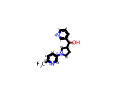 OC(c1cccnc1)C1CCN(c2ccc(C(F)(F)F)nc2)C1